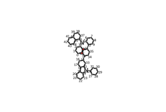 c1ccc(N(c2ccccc2-c2ccc(-c3ccc4c5ccccc5n(-c5ccccc5)c4c3)cc2)c2cccc3ccccc23)cc1